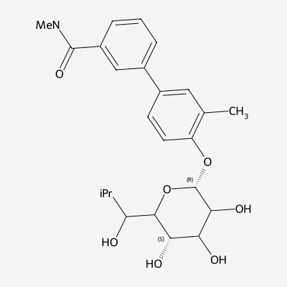 CNC(=O)c1cccc(-c2ccc(O[C@H]3OC(C(O)C(C)C)[C@@H](O)C(O)C3O)c(C)c2)c1